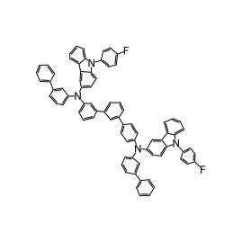 Fc1ccc(-n2c3ccccc3c3cc(N(c4ccc(-c5cccc(-c6cccc(N(c7cccc(-c8ccccc8)c7)c7ccc8c(c7)c7ccccc7n8-c7ccc(F)cc7)c6)c5)cc4)c4cccc(-c5ccccc5)c4)ccc32)cc1